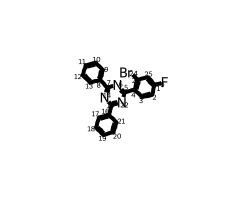 Fc1ccc(-c2nc(-c3ccccc3)nc(-c3ccccc3)n2)c(Br)c1